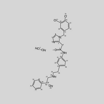 Cl.Cl.O=C(Cc1nccn1Cc1ccc(Cl)c(Cl)c1)Nc1ccc(CCNC[C@H](O)c2ccccc2)cc1